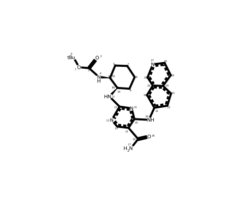 CC(C)(C)OC(=O)N[C@H]1CCCC[C@H]1Nc1ncc(C(N)=O)c(Nc2ccc3ccncc3c2)n1